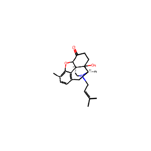 CC(C)=CCN1CC[C@]23c4c5ccc(C)c4OC2C(=O)CCC3(O)[C@H]1C5